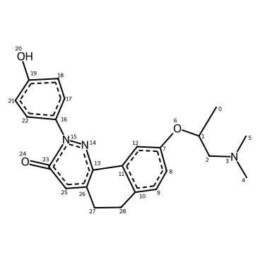 CC(CN(C)C)Oc1ccc2c(c1)-c1nn(-c3ccc(O)cc3)c(=O)cc1CC2